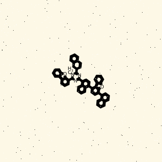 CN1C(C2C=Cc3ccccc3C2)=NC(c2ccc(-c3ccc(-c4cccc5ccccc45)c4oc5ccccc5c34)c3ccccc23)=NC1c1cccc2c1oc1ccccc12